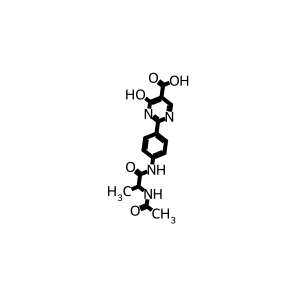 CC(=O)NC(C)C(=O)Nc1ccc(-c2ncc(C(=O)O)c(O)n2)cc1